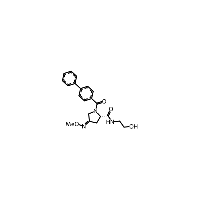 CON=C1C[C@@H](C(=O)NCCO)N(C(=O)c2ccc(-c3ccccc3)cc2)C1